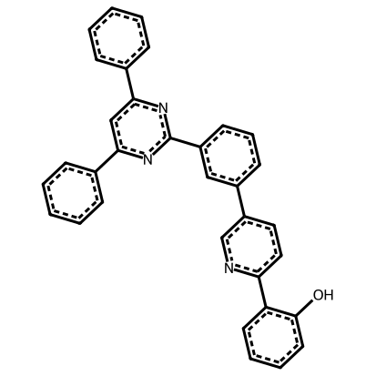 Oc1ccccc1-c1ccc(-c2cccc(-c3nc(-c4ccccc4)cc(-c4ccccc4)n3)c2)cn1